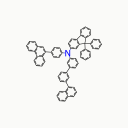 c1ccc(C2(c3ccccc3)c3ccccc3-c3ccc(N(c4ccc(-c5cc6ccccc6c6ccccc56)cc4)c4cccc(-c5cccc(-c6cccc7ccccc67)c5)c4)cc32)cc1